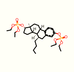 CCCC[C@@H]1Cc2cc(OP(=O)(OCC)OCC)ccc2[C@H]2CC[C@]3(C)[C@@H](OP(=O)(OCC)OCC)CC[C@H]3[C@H]12